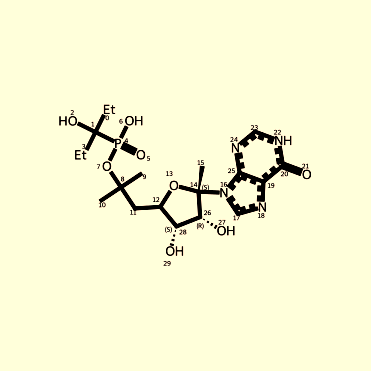 CCC(O)(CC)P(=O)(O)OC(C)(C)CC1O[C@](C)(n2cnc3c(=O)[nH]cnc32)[C@H](O)[C@@H]1O